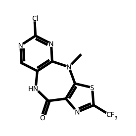 CN1c2nc(Cl)ncc2NC(=O)c2nc(C(F)(F)F)sc21